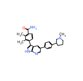 Cc1c(C(N)=O)ccc(-c2c[nH]c3ncc(-c4ccc(C5CCCN(C)C5)cc4)cc23)c1C